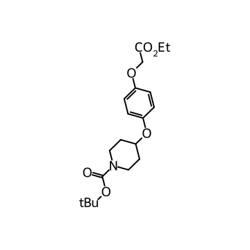 CCOC(=O)COc1ccc(OC2CCN(C(=O)OC(C)(C)C)CC2)cc1